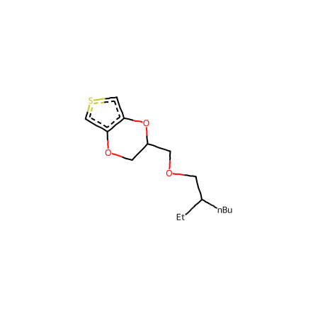 CCCCC(CC)COCC1COc2cscc2O1